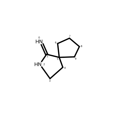 N=C1NCCC12CCCC2